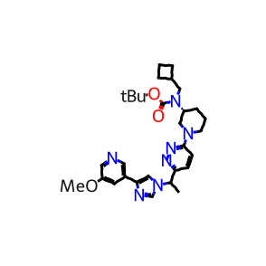 COc1cncc(-c2cn(C(C)c3ccc(N4CCC[C@@H](N(CC5CCC5)C(=O)OC(C)(C)C)C4)nn3)cn2)c1